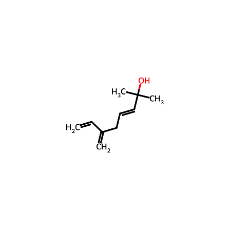 C=CC(=C)C/C=C/C(C)(C)O